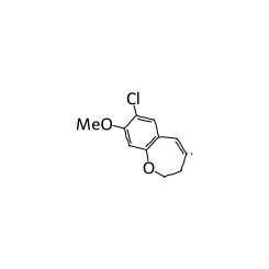 COc1cc2c(cc1Cl)C=[C]CCO2